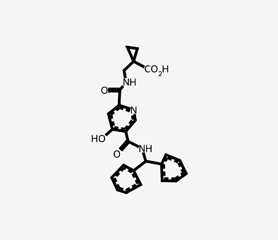 O=C(NCC1(C(=O)O)CC1)c1cc(O)c(C(=O)NC(c2ccccc2)c2ccccc2)cn1